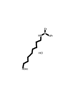 CCCCCCCCCCCCCCCCCCNN(CC)CCC.Cl